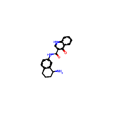 NC1CCCc2ccc(NC(=O)c3c[nH]c4ccccc4c3=O)cc21